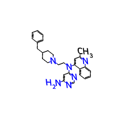 Cc1cc(N(CCN2CCC(Cc3ccccc3)CC2)c2cc(N)ncn2)c2ccccc2n1